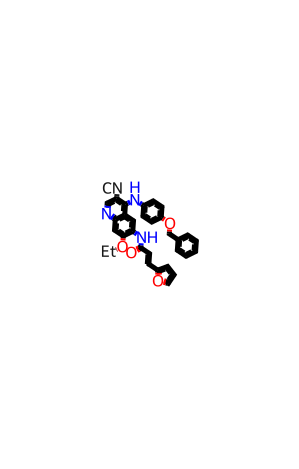 CCOc1cc2ncc(C#N)c(Nc3ccc(OCc4ccccc4)cc3)c2cc1NC(=O)/C=C/c1ccco1